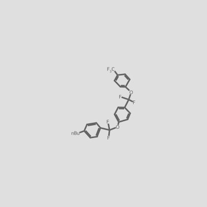 CCCCc1ccc(C(F)(F)Oc2ccc(C(F)(F)Oc3ccc(C(F)(F)F)cc3)cc2)cc1